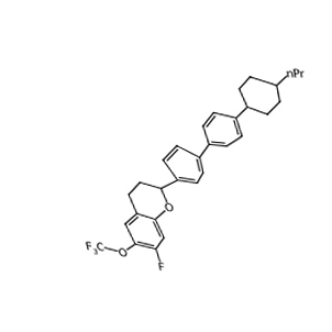 CCCC1CCC(c2ccc(-c3ccc(C4CCc5cc(OC(F)(F)F)c(F)cc5O4)cc3)cc2)CC1